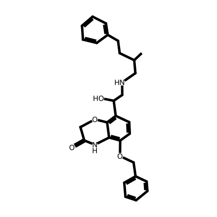 CC(CCc1ccccc1)CNCC(O)c1ccc(OCc2ccccc2)c2c1OCC(=O)N2